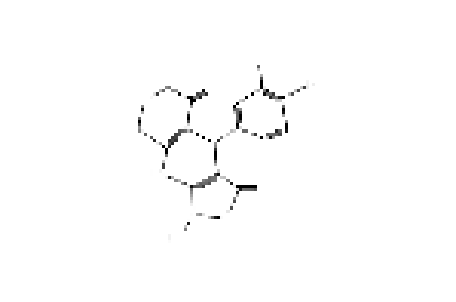 Cn1oc(=O)c2c1NC1=C(C(=O)COC1)C2c1ccc(Br)c(Cl)c1